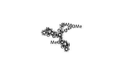 COCCOCCOCCN(C(=O)CCC(C)(C)SSC)c1cc(COc2cc3c(cc2OC)C(=O)N2c4ccccc4C[C@H]2C=N3)cc(COc2cc3c(cc2OC)C(=O)N2c4ccccc4C[C@H]2C=N3)c1